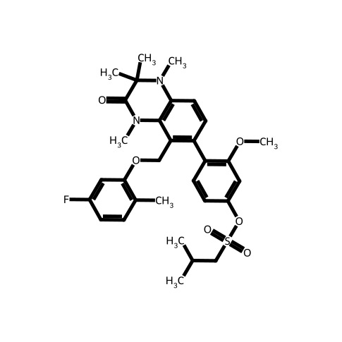 COc1cc(OS(=O)(=O)CC(C)C)ccc1-c1ccc2c(c1COc1cc(F)ccc1C)N(C)C(=O)C(C)(C)N2C